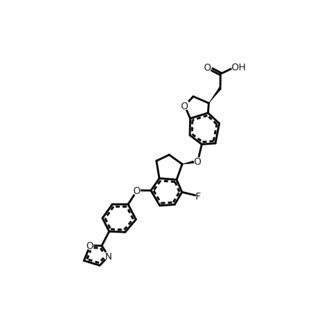 O=C(O)C[C@@H]1COc2cc(O[C@@H]3CCc4c(Oc5ccc(-c6ncco6)cc5)ccc(F)c43)ccc21